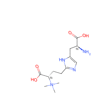 C[N+](C)(C)[C@@H](CCc1ncc(C[C@H](N)C(=O)O)[nH]1)C(=O)O